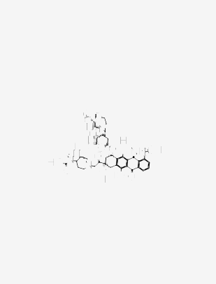 COc1cccc2c1C(=N)c1c(O)c3c(c(O)c1C2=O)C[C@@](O)(C(=O)CN1CCC(N(C)C(=O)O)CC1)C[C@@H]3O[C@H]1C[C@H]2[C@H](O[C@@H]3[C@@H](OC)OCCN32)[C@H](C)O1